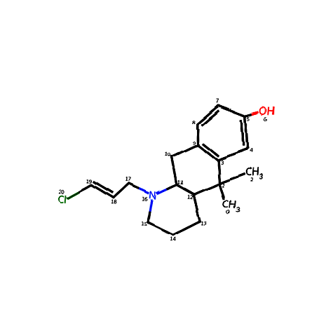 CC1(C)c2cc(O)ccc2CC2C1CCCN2CC=CCl